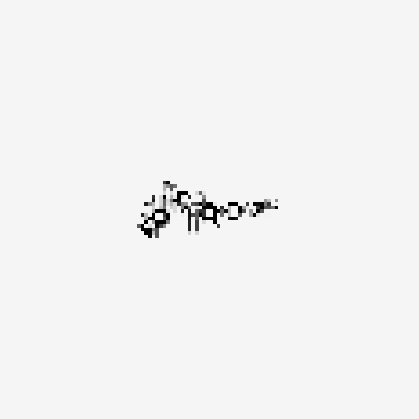 COc1cc(N2CCC(N3CC(F)(CO)C3)CC2)c(C)cc1Nc1ncc(Br)c(Nc2ccc3nccnc3c2P(C)C)n1